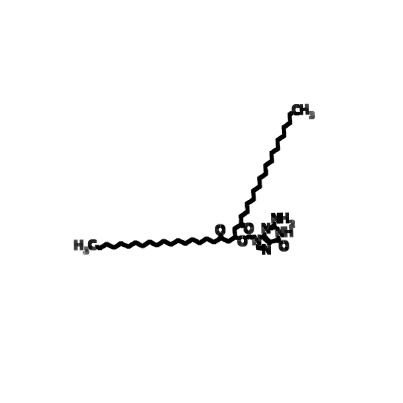 CCCCCCCCCCCCCCCCCCC(=O)CC(CC(=O)CCCCCCCCCCCCCCCCCC)OCn1cnc2c(=O)[nH]c(N)nc21